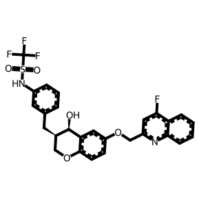 O=S(=O)(Nc1cccc(C[C@@H]2COc3ccc(OCc4cc(F)c5ccccc5n4)cc3[C@@H]2O)c1)C(F)(F)F